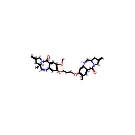 C=C1CC2C=Nc3cc(OCCCOc4cc5c(cc4OC)C(=O)N4CC(=C)C[C@H]4C=N5)c(C)cc3C(=O)N2C1